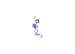 NC1CCC(c2nnc(-c3cccc(F)c3)o2)CC1